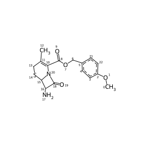 COc1ccc(COC(=O)C2=C(C)CSC3C(N)C(=O)N23)cc1